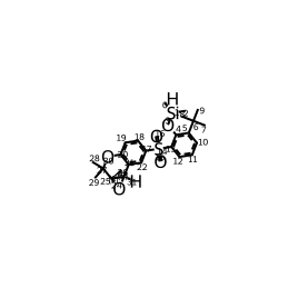 C[SiH](C)Oc1c(C(C)(C)C)cccc1S(=O)(=O)c1ccc2c(c1)[C@@H]1O[C@]1(C)C(C)(C)O2